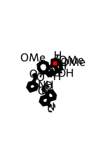 CO[C@H]1CC[C@]2(OC(=O)c3ccccc3NS(=O)(=O)c3cccc4c(N(C)C)cccc34)C3C[C@H]4N([C@H]2C)C3(C1)C1C[C@@H]2[C@@H](OC)C[C@@]4(O)[C@@]1(O)[C@H]2OC